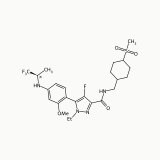 CCn1nc(C(=O)NCC2CCC(S(C)(=O)=O)CC2)c(F)c1-c1ccc(N[C@H](C)C(F)(F)F)cc1OC